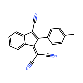 Cc1ccc(C2=C(C#N)c3ccccc3C2=C(C#N)C#N)cc1